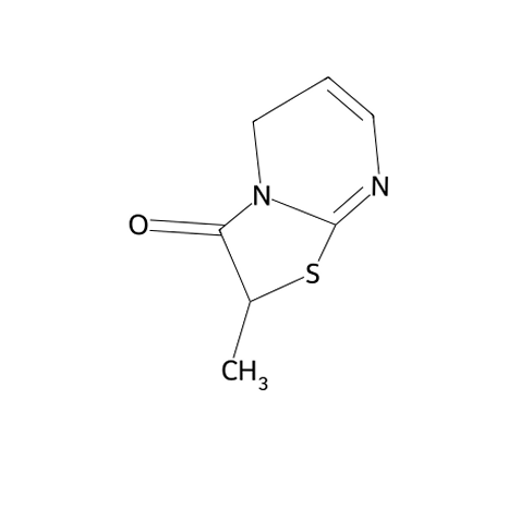 CC1SC2=NC=CCN2C1=O